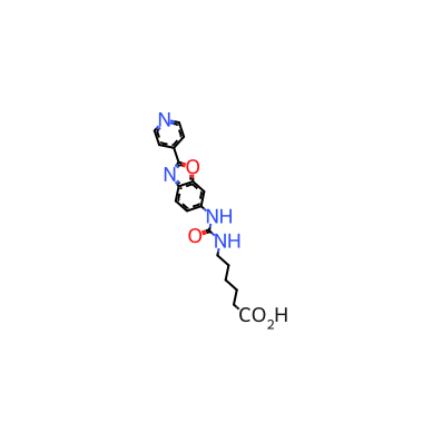 O=C(O)CCCCCNC(=O)Nc1ccc2nc(-c3ccncc3)oc2c1